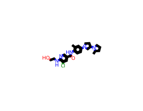 Cc1cc(N2CCC(N3CCCC3C)C2)ccc1NC(=O)c1cnc(NCCO)c(Cl)c1